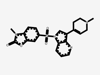 CN1CC=C(c2cn(S(=O)(=O)c3ccc4c(c3)oc(=O)n4C)c3cccnc23)CC1